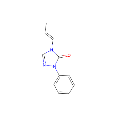 C/C=C/n1cnn(-c2ccccc2)c1=O